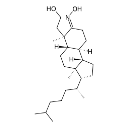 CC(C)CCC[C@@H](C)[C@H]1CC[C@H]2[C@@H]3CCC(=NO)[C@](C)(CCO)[C@H]3CC[C@]12C